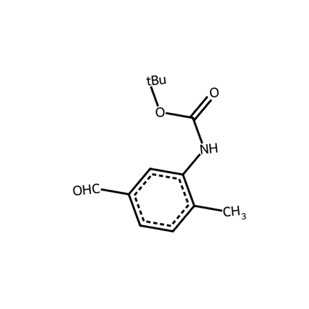 Cc1ccc(C=O)cc1NC(=O)OC(C)(C)C